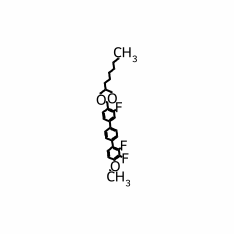 CCCCCCCC1COC(c2ccc(-c3ccc(-c4ccc(OCC)c(F)c4F)cc3)cc2F)OC1